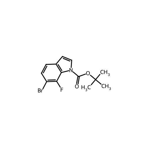 CC(C)(C)OC(=O)n1ccc2ccc(Br)c(F)c21